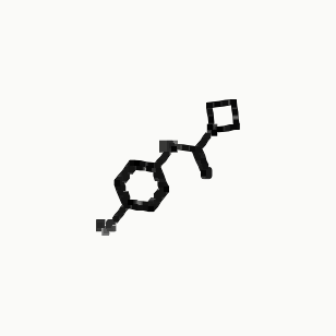 O=C(Nc1ccc(C(F)(F)F)cc1)N1CCC1